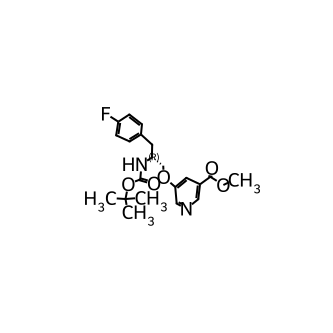 COC(=O)c1cncc(OC[C@@H](Cc2ccc(F)cc2)NC(=O)OC(C)(C)C)c1